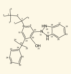 CC(C)(C)CC(C)(C)c1cc(N2Nc3ccccc3N2)c(O)c(C(C)(C)c2ccccc2)c1